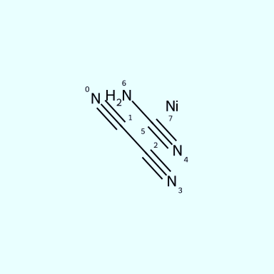 N#CC#N.N#CN.[Ni]